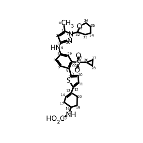 Cc1cc(Nc2ccc(-c3ccc(C4=CCC(NC(=O)O)CC4)s3)c(S(=O)(=O)C3CC3)c2)nn1C1CCCCO1